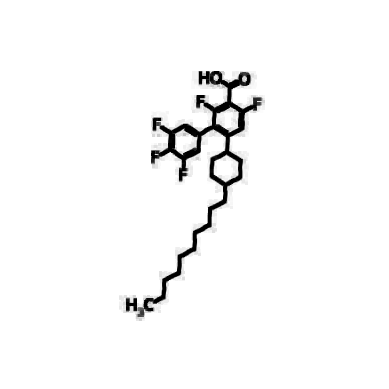 CCCCCCCCCCC1CCC(c2cc(F)c(C(=O)O)c(F)c2-c2cc(F)c(F)c(F)c2)CC1